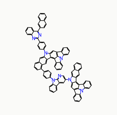 c1ccc2cc(-c3nc(-c4ccc(-n5c6cc7cccc(-c8ccc(-n9c%10ccccc%10c%10cc(-n%11c%12cc%13ccccc%13cc%12c%12c%13c%14ccccc%14n%14c%15ccccc%15c(cc%12%11)c%13%14)cnc%109)cc8)c7cc6c6c7c8ccccc8n8c9ccccc9c(cc65)c78)cc4)nc4ccccc34)ccc2c1